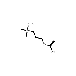 C=C(OCCC[Si](C)(C)C=O)C(C)=O